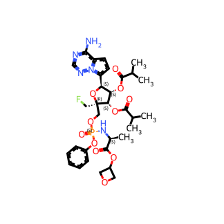 CC(C)C(=O)O[C@H]1[C@H](c2ccc3c(N)ncnn23)O[C@](CF)(CO[P@@](=O)(N[C@@H](C)C(=O)OC2COC2)Oc2ccccc2)[C@H]1OC(=O)C(C)C